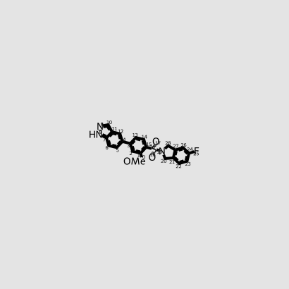 COc1cc(-c2ccc3[nH]ncc3c2)ccc1S(=O)(=O)N1Cc2ccc(F)cc2C1